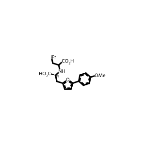 COc1ccc(-c2ccc(C[C@H](NC(CC(C)C)C(=O)O)C(=O)O)o2)cc1